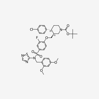 COc1ccc(CN(c2ncns2)S(=O)(=O)c2ccc(OC[C@@H]3CN(C(=O)OC(C)(C)C)CC[C@H]3c3ccc(Cl)cc3)c(F)c2)c(OC)c1